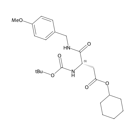 COc1ccc(CNC(=O)[C@H](CC(=O)OC2CCCCC2)NC(=O)OC(C)(C)C)cc1